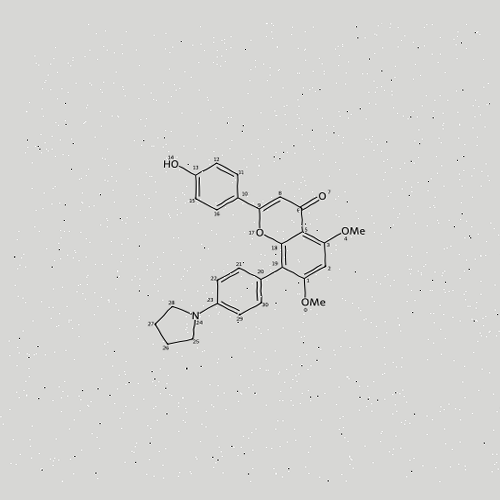 COc1cc(OC)c2c(=O)cc(-c3ccc(O)cc3)oc2c1-c1ccc(N2CCCC2)cc1